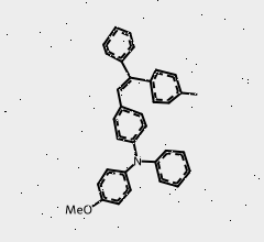 COc1ccc(N(c2ccccc2)c2ccc(C=C(c3ccccc3)c3ccc(C)cc3)cc2)cc1